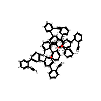 N#Cc1ccccc1-c1ccc2c(c1)c1cc(-c3ccccc3C#N)ccc1n2-c1ccccc1-c1c(-c2cc(-c3ccccc3)nc(-c3ccccc3)n2)cccc1-n1c2ccc(-c3ccccc3C#N)cc2c2cc(-c3ccccc3C#N)ccc21